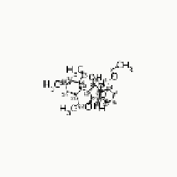 CCOC[C@]12CC[C@H](O1)[C@@H]1C(=O)C(c3c(CC)cc(C)cc3CC)=C(O)[C@@H]12